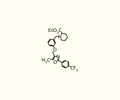 CCOC(=O)C1CCCCN1Cc1cccc(OCc2nc(-c3ccc(C(F)(F)F)cc3)oc2C)c1